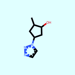 CC1CC(n2ccnn2)CC1O